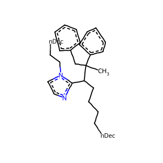 CCCCCCCCCCCCCCC(c1nccn1CCCCCCCCCCCC)C(C)(Cc1ccccc1)c1ccccc1